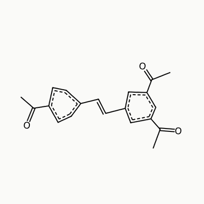 CC(=O)c1ccc(/C=C/c2cc(C(C)=O)cc(C(C)=O)c2)cc1